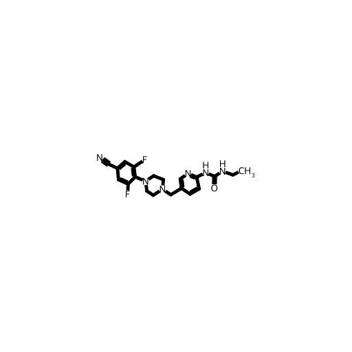 CCNC(=O)Nc1ccc(CN2CCN(c3c(F)cc(C#N)cc3F)CC2)cn1